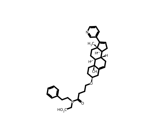 C[C@]12CC[C@H](OCCCC(=O)N(CCc3ccccc3)CC(=O)O)CC1=CC[C@@H]1[C@@H]2CC[C@]2(C)C(c3cccnc3)=CC[C@@H]12